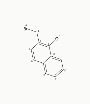 [O]c1c(CBr)ccc2ccccc12